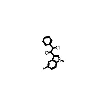 Cn1cc(C(=O)C(Cl)c2ccccc2)c2cc(F)ccc21